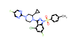 Cc1ccc(S(=O)(=O)n2nc(N3CCN(c4ncc(F)cn4)CC3C3CC3)c3c(Cl)cc(F)cc32)cc1